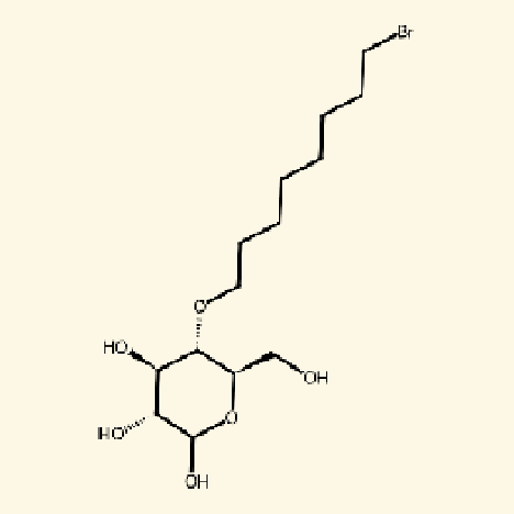 OC[C@H]1OC(O)[C@H](O)[C@@H](O)[C@@H]1OCCCCCCCCBr